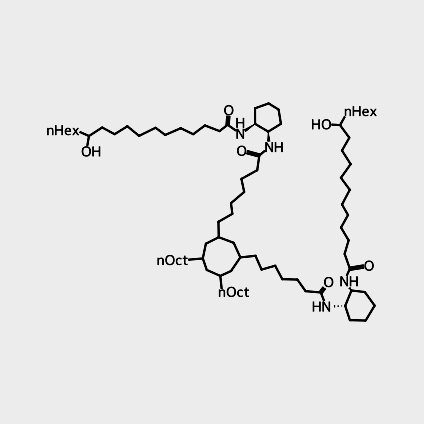 CCCCCCCCC1CC(CCCCCCCC)CC(CCCCCCC(=O)N[C@@H]2CCCC[C@@H]2NC(=O)CCCCCCCCCCC(O)CCCCCC)CC(CCCCCCC(=O)N[C@H]2CCCC[C@H]2NC(=O)CCCCCCCCCCC(O)CCCCCC)C1